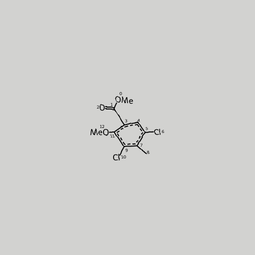 COC(=O)c1cc(Cl)c(C)c(Cl)c1OC